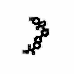 CCN(C(=O)C1(C)CCNCC1)c1cc(-c2ccc3c(c2)CCC(C(=O)NO)C3)ccn1